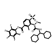 CON(C(=O)NC(C1CCCCC1)C1CCCCC1)c1c(S(C)(=O)=O)ccc(C(=O)Oc2c(F)c(F)c(F)c(F)c2F)c1C